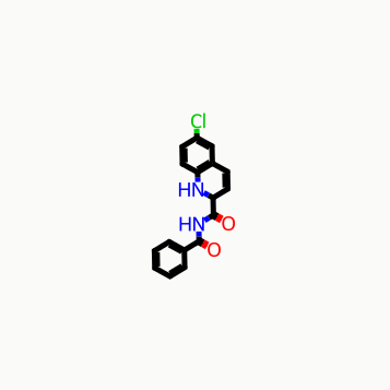 O=C(NC(=O)C1C=Cc2cc(Cl)ccc2N1)c1ccccc1